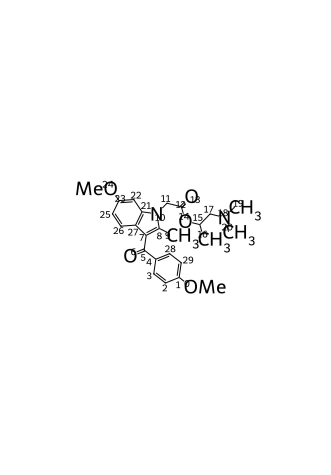 COc1ccc(C(=O)c2c(C)n(CC(=O)OC(C)CN(C)C)c3cc(OC)ccc23)cc1